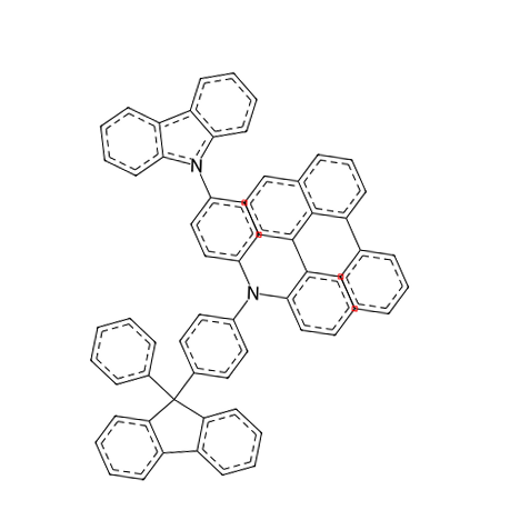 c1ccc(-c2cccc3cccc(-c4ccccc4N(c4ccc(-n5c6ccccc6c6ccccc65)cc4)c4ccc(C5(c6ccccc6)c6ccccc6-c6ccccc65)cc4)c23)cc1